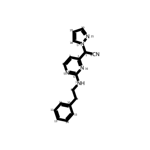 N#CC(c1ccnc(NCCc2ccccc2)n1)n1cccn1